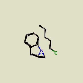 CCCCCCl.c1ccc2c(c1)cc1n2C1